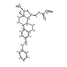 COC(=O)CC[C@@H]1C[C@H](O)[C@@]2(C)CCC3c4ccc(OCc5ccccc5)cc4CCC3C12